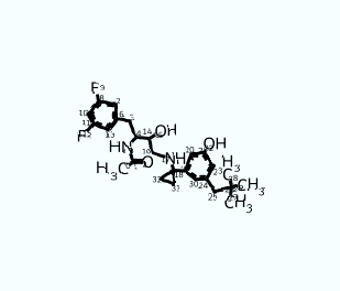 CC(=O)NC(Cc1cc(F)cc(F)c1)C(O)CNC1(c2cc(O)cc(CC(C)(C)C)c2)CC1